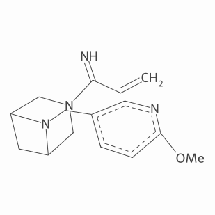 C=CC(=N)N1CC2CC(C1)N2Cc1ccc(OC)nc1